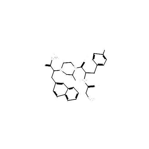 CNCC(=O)NC(Cc1ccc(F)cc1)C(=O)N1CCN(C(Cc2ccc3ccccc3c2)C(=O)NC)CC1C